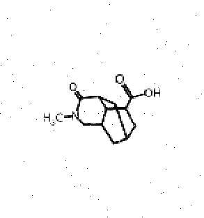 CN1CC2CC3CC(C(=O)O)C2C(C3)C1=O